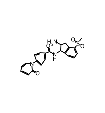 CS(=O)(=O)c1cccc2c1CC(N)C2NC(=O)c1ccc(-n2ccccc2=O)cc1